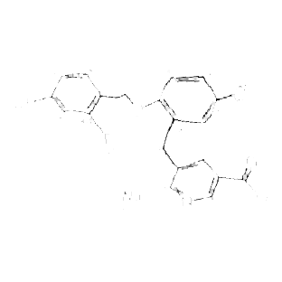 O=C([O-])c1cncc(Cc2cc(Cl)ccc2OCc2ccc(F)cc2F)c1.[Na+]